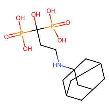 O=P(O)(O)C(O)(CCNC12CC3CC(CC(C3)C1)C2)P(=O)(O)O